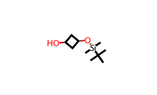 CC(C)(C)[Si](C)(C)O[C@H]1C[C@@H](O)C1